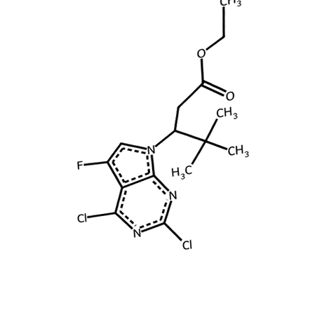 CCOC(=O)CC(n1cc(F)c2c(Cl)nc(Cl)nc21)C(C)(C)C